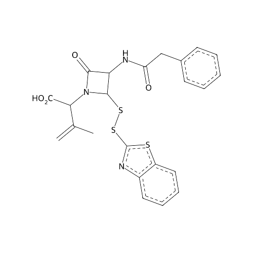 C=C(C)C(C(=O)O)N1C(=O)C(NC(=O)Cc2ccccc2)C1SSc1nc2ccccc2s1